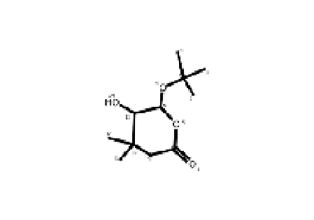 CC(C)(C)OC1OC(=O)CC(C)(C)C1O